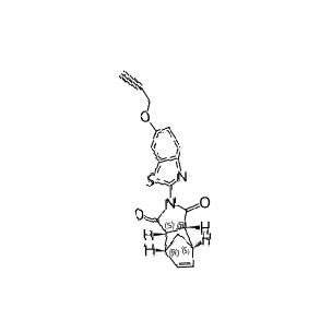 C#CCOc1ccc2nc(N3C(=O)[C@@H]4[C@H](C3=O)[C@@H]3C=C[C@H]4C3)sc2c1